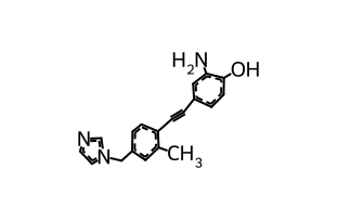 Cc1cc(Cn2ccnc2)ccc1C#Cc1ccc(O)c(N)c1